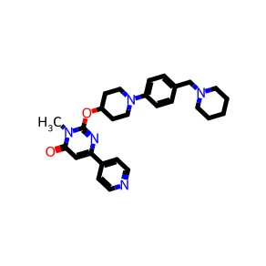 Cn1c(OC2CCN(c3ccc(CN4CCCCC4)cc3)CC2)nc(-c2ccncc2)cc1=O